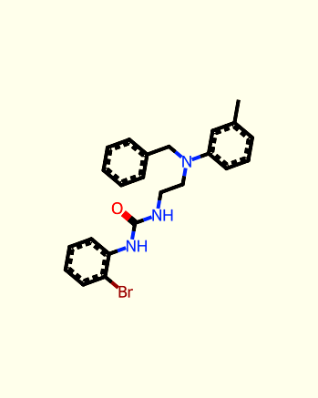 Cc1cccc(N(CCNC(=O)Nc2ccccc2Br)Cc2ccccc2)c1